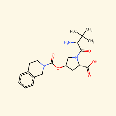 CC(C)(C)[C@H](N)C(=O)N1C[C@H](OC(=O)N2CCc3ccccc3C2)C[C@H]1C(=O)O